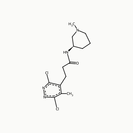 Cc1c(Cl)nnc(Cl)c1CCC(=O)N[C@@H]1CCCN(C)C1